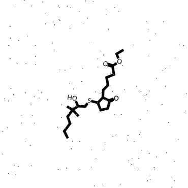 CCCCC(C)(C)C(O)CSC1CCC(=O)C1CCCCC(=O)OCC